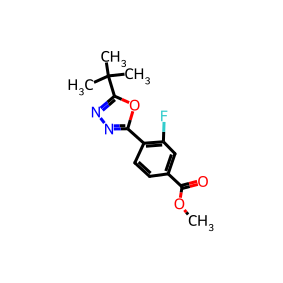 COC(=O)c1ccc(-c2nnc(C(C)(C)C)o2)c(F)c1